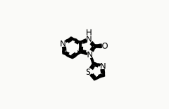 O=c1[nH]c2cnccc2n1-c1nccs1